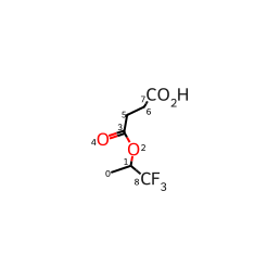 CC(OC(=O)CCC(=O)O)C(F)(F)F